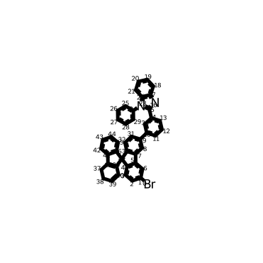 Brc1ccc2c(c1)-c1cc(-c3cccc(-c4nc5ccccc5n4-c4ccccc4)c3)ccc1C21C2=C(CCC=C2)c2ccccc21